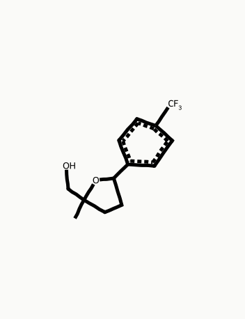 CC1(CO)CCC(c2ccc(C(F)(F)F)cc2)O1